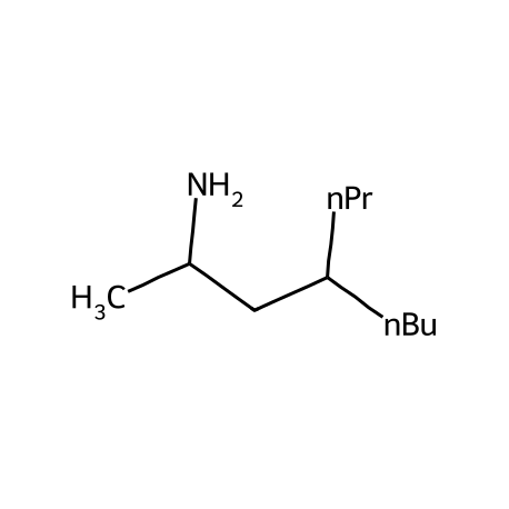 CCCCC(CCC)CC(C)N